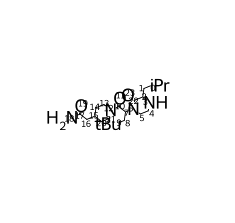 CC(C)CC1NCCN(C(CC(C)(C)C)C(=O)N2CCC(CC(N)=O)CC2)C1=O